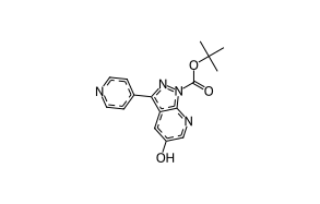 CC(C)(C)OC(=O)n1nc(-c2ccncc2)c2cc(O)cnc21